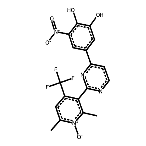 Cc1cc(C(F)(F)F)c(-c2nccc(-c3cc(O)c(O)c([N+](=O)[O-])c3)n2)c(C)[n+]1[O-]